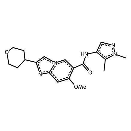 COc1cc2nc(C3CCOCC3)cn2cc1C(=O)Nc1cnn(C)c1C